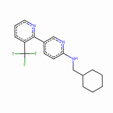 FC(F)(F)c1cccnc1-c1ccc(NCC2CCCCC2)nc1